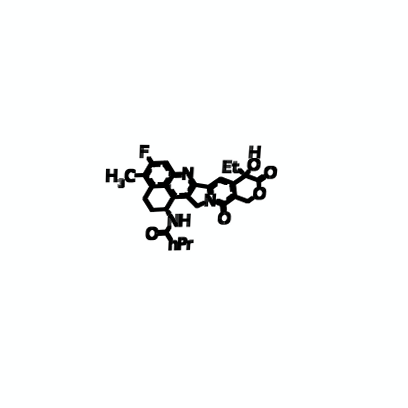 [CH2]CCC(=O)N[C@H]1CCc2c(C)c(F)cc3nc4c(c1c23)Cn1c-4cc2c(c1=O)COC(=O)[C@]2(O)CC